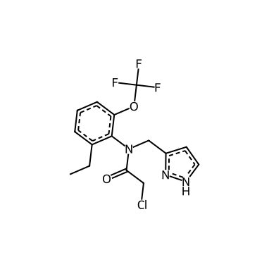 CCc1cccc(OC(F)(F)F)c1N(Cc1cc[nH]n1)C(=O)CCl